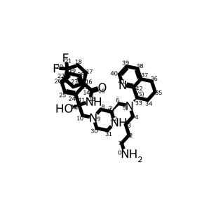 NCCCCN(C[C@@H]1CN(C[C@@](O)(NC(=O)C2CCC(F)(F)CC2)c2ccccc2)CCN1)[C@H]1CCCc2cccnc21